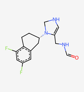 O=CNCC1=CNCN1[C@H]1CCc2c(F)cc(F)cc2C1